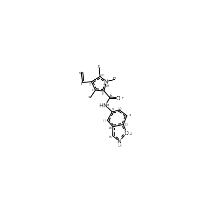 C=Cc1c(C)c(C(=O)Nc2ccc3oncc3c2)n(C)c1C